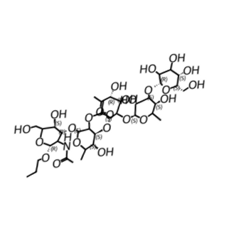 CCCO[C@@H]1OC(CO)[C@@H](O)[C@H](O[C@@H]2OC(C)[C@H](O)[C@H](O[C@@H]3OC(C)[C@H](O)[C@H](O)C3O[C@@H]3OC(C)[C@H](O)[C@H](O[C@H]4O[C@@H](CO)[C@@H](O)C(O)C4O)C3O)C2OC(C)=O)C1NC(C)=O